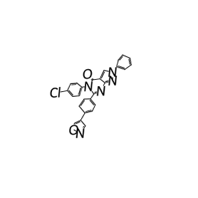 O=c1c2cn(-c3ccccc3)nc2nc(-c2ccc(-c3cnoc3)cc2)n1-c1ccc(Cl)cc1